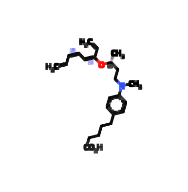 C=C/C=C\C=C(/C=C)O[C@H](C)CCN(C)c1ccc(CCCCC(=O)O)cc1